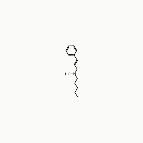 CCCCCN(O)CC=Cc1ccccc1